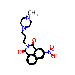 CN1CCN(CCCN2C(=O)c3cccc4cc([N+](=O)[O-])cc(c34)C2=O)CC1